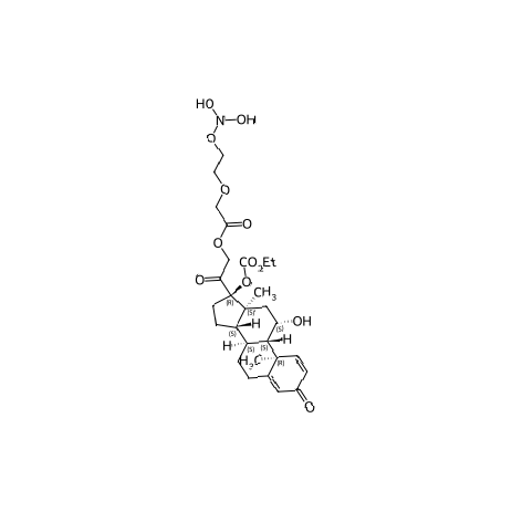 CCOC(=O)O[C@]1(C(=O)COC(=O)COCCON(O)O)CC[C@H]2[C@@H]3CCC4=CC(=O)C=C[C@]4(C)[C@H]3[C@@H](O)C[C@@]21C